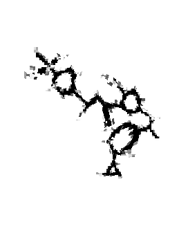 CC(Oc1ccc(N)c(C(=N)/C=C(\F)c2ccc(S(C)(=N)=O)nc2)c1)c1ccnc(C2CC2)n1